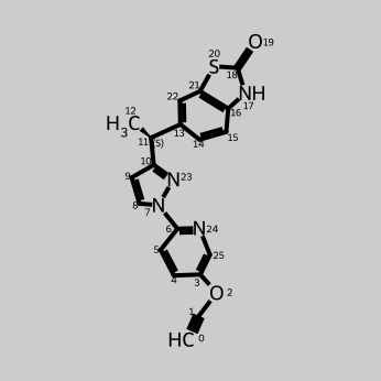 C#COc1ccc(-n2ccc([C@@H](C)c3ccc4[nH]c(=O)sc4c3)n2)nc1